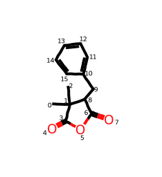 CC1(C)C(=O)OC(=O)C1Cc1ccccc1